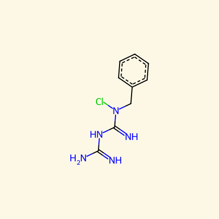 N=C(N)NC(=N)N(Cl)Cc1ccccc1